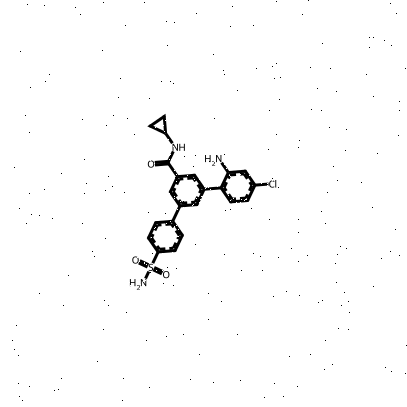 Nc1cc(Cl)ccc1-c1cc(C(=O)NC2CC2)cc(-c2ccc(S(N)(=O)=O)cc2)c1